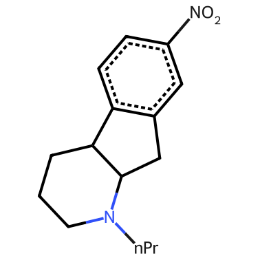 CCCN1CCCC2c3ccc([N+](=O)[O-])cc3CC21